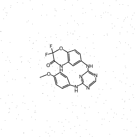 COc1ccc(Nc2ncnc(Nc3ccc4c(c3)NC(=O)C(F)(F)O4)n2)cc1